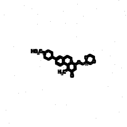 Cc1c2n(c(OC[C@@H]3COCCO3)cc1=O)CCc1cc(C3CCN(C(=O)O)CC3)ccc1-2